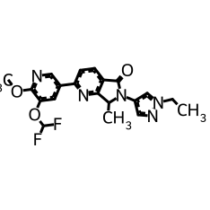 CCn1cc(N2C(=O)c3ccc(-c4cnc(OC)c(OC(F)F)c4)nc3C2C)cn1